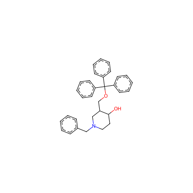 OC1CCN(Cc2ccccc2)CC1COC(c1ccccc1)(c1ccccc1)c1ccccc1